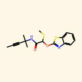 CC#CC(C)(C)NC(=O)C(Oc1nc2ccccc2s1)SC